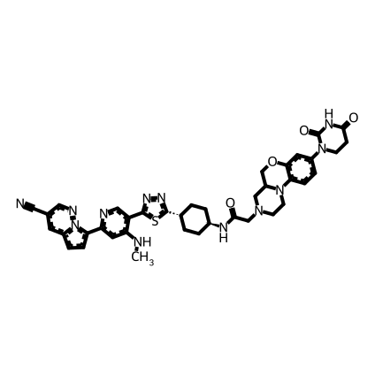 CNc1cc(-c2ccc3cc(C#N)cnn23)ncc1-c1nnc([C@H]2CC[C@H](NC(=O)CN3CCN4c5ccc(N6CCC(=O)NC6=O)cc5OCC4C3)CC2)s1